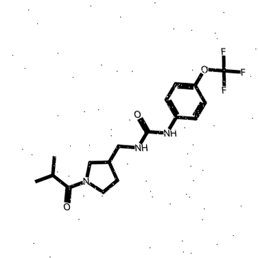 CC(C)C(=O)N1CCC(CNC(=O)Nc2ccc(OC(F)(F)F)cc2)C1